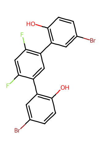 Oc1ccc(Br)cc1-c1cc(-c2cc(Br)ccc2O)c(F)cc1F